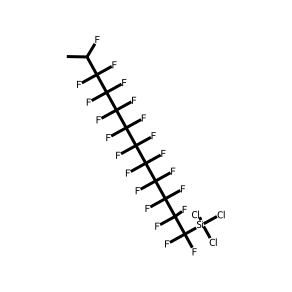 CC(F)C(F)(F)C(F)(F)C(F)(F)C(F)(F)C(F)(F)C(F)(F)C(F)(F)C(F)(F)C(F)(F)C(F)(F)[Si](Cl)(Cl)Cl